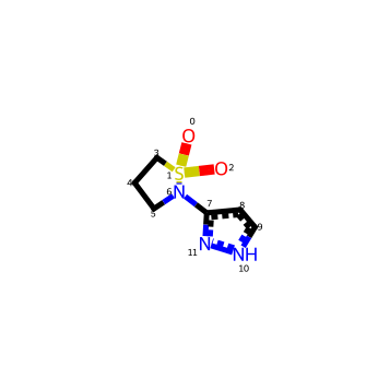 O=S1(=O)CCCN1c1cc[nH]n1